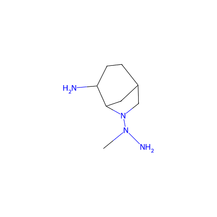 CN(N)N1CC2CCC(N)C1C2